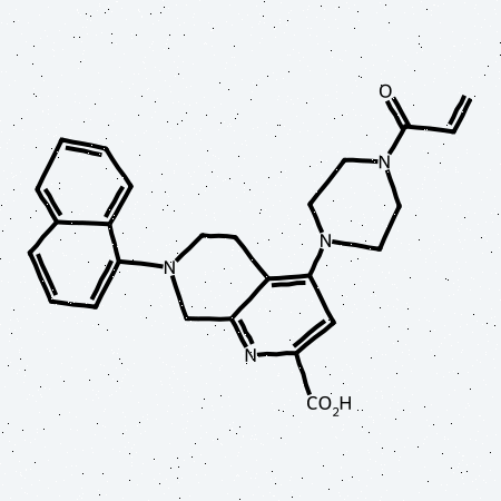 C=CC(=O)N1CCN(c2cc(C(=O)O)nc3c2CCN(c2cccc4ccccc24)C3)CC1